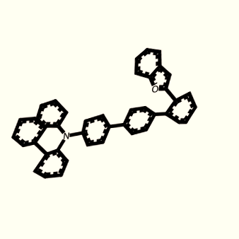 c1ccc(-c2ccccc2N(c2ccccc2)c2ccc(-c3ccc(-c4ccccc4-c4cc5ccccc5o4)cc3)cc2)cc1